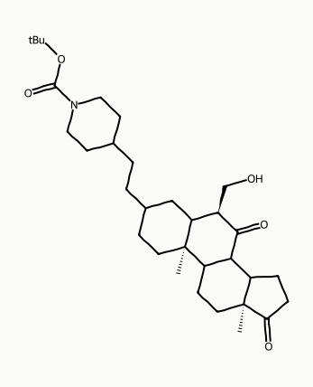 CC(C)(C)OC(=O)N1CCC(CCC2CC[C@]3(C)C4CC[C@]5(C)C(=O)CCC5C4C(=O)[C@H](CO)C3C2)CC1